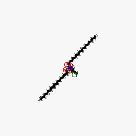 CCCCCCCCCCCCCCCCCC(=O)O[N+](C)(CCC)OC(=O)CCCCCCCCCCCCCCCCC.[Cl-]